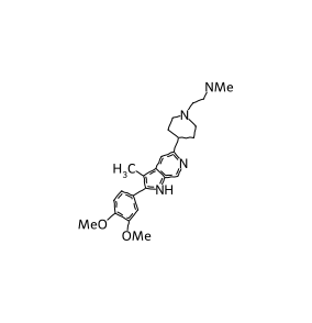 CNCCN1CCC(c2cc3c(C)c(-c4ccc(OC)c(OC)c4)[nH]c3cn2)CC1